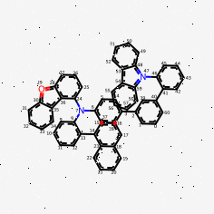 c1cc(-c2ccc(N(c3ccccc3-c3cccc4ccccc34)c3cccc4oc5ccccc5c34)cc2)cc(-c2ccccc2-n2c3ccccc3c3ccccc32)c1